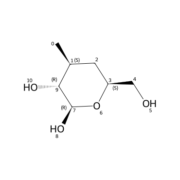 C[C@H]1C[C@@H](CO)O[C@@H](O)[C@@H]1O